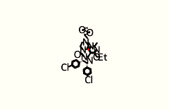 CCOc1nc(C)ncc1C1=N[C@H](c2ccc(Cl)cc2)[C@H](c2ccc(Cl)cc2)N1C(=O)N1CCN(CCS(C)(=O)=O)CC1